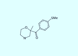 CSc1ccc(C(=O)C2(C)C[N]CCO2)cc1